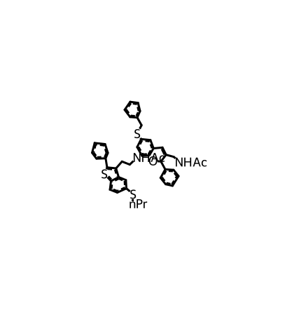 CC(=O)NCC1=Cc2cc(SCc3ccccc3)ccc2OC1c1ccccc1.CCCSc1ccc2sc(-c3ccccc3)c(CCNC(C)=O)c2c1